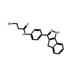 CC(C)(C)CCC(=O)Nc1ccc(-c2n[nH]c3c2Cc2ccccc2-3)cc1